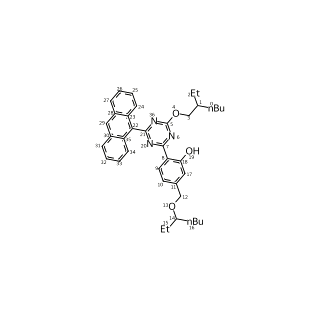 CCCCC(CC)COc1nc(-c2ccc(COC(CC)CCCC)cc2O)nc(-c2c3ccccc3cc3ccccc23)n1